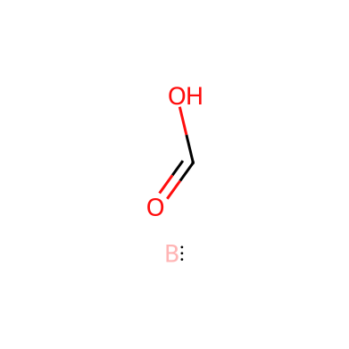 O=CO.[B]